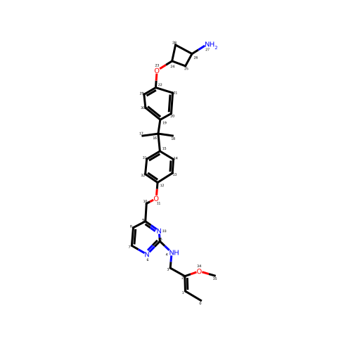 CC=C(CNc1nccc(COc2ccc(C(C)(C)c3ccc(OC4CC(N)C4)cc3)cc2)n1)OC